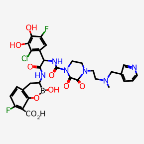 CN(CCN1CCN(C(=O)NC(C(=O)NC2Cc3ccc(F)c(C(=O)O)c3OB2O)c2cc(F)c(O)c(O)c2Cl)C(=O)C1=O)Cc1cccnc1